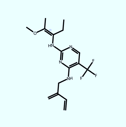 C=CC(=C)CNc1nc(N/C(CC)=C(/C)OC)ncc1C(F)(F)F